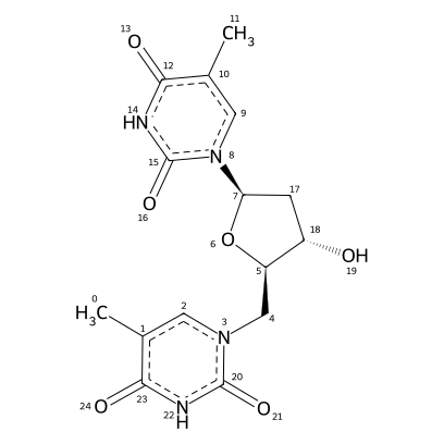 Cc1cn(C[C@H]2O[C@@H](n3cc(C)c(=O)[nH]c3=O)C[C@@H]2O)c(=O)[nH]c1=O